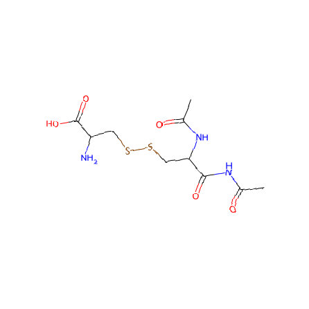 CC(=O)NC(=O)C(CSSCC(N)C(=O)O)NC(C)=O